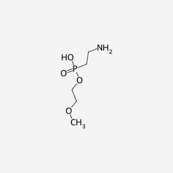 COCCOP(=O)(O)CCN